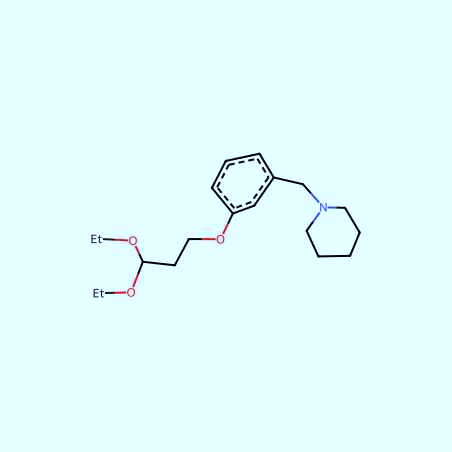 CCOC(CCOc1cccc(CN2CCCCC2)c1)OCC